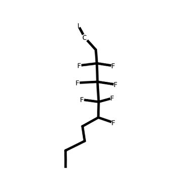 CCCCC(F)C(F)(F)C(F)(F)C(F)(F)CCI